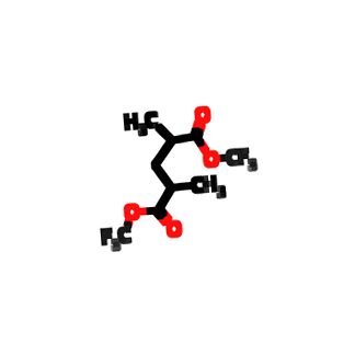 CC(CC(C)C(=O)OC(F)(F)F)C(=O)OC(F)(F)F